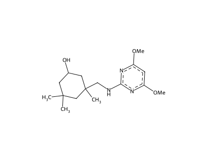 COc1cc(OC)nc(NCC2(C)CC(O)CC(C)(C)C2)n1